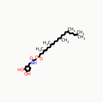 CC(C)=CCC/C(C)=C\CC/C(C)=C/CC/C=C(\C)CC/C=C(\C)CCC(=O)OCC(=O)NCc1ccc(O)c(O)c1